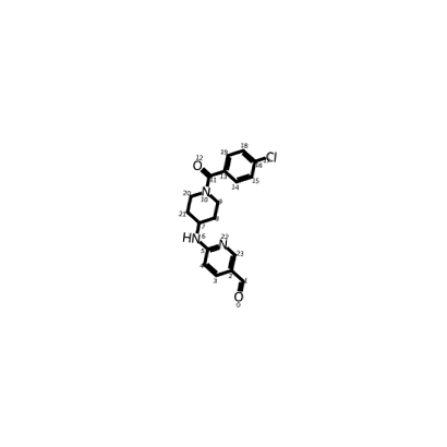 O=Cc1ccc(NC2CCN(C(=O)c3ccc(Cl)cc3)CC2)nc1